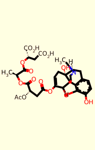 CC(=O)O[C@@H](CC(=O)OC1=CC[C@@]2(O)[C@H]3Cc4ccc(O)c5c4[C@@]2(CCN3C)[C@H]1O5)C(=O)O[C@@H](C)C(=O)O[C@@H](CC(=O)O)C(=O)O